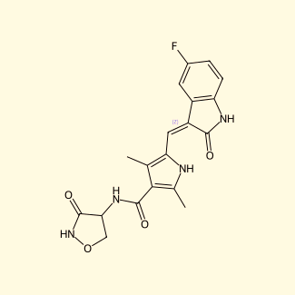 Cc1[nH]c(/C=C2\C(=O)Nc3ccc(F)cc32)c(C)c1C(=O)NC1CONC1=O